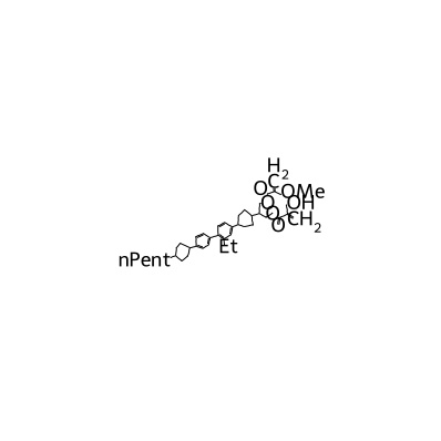 C=C(CO)C(=O)OCC(COC(=O)C(=C)COC)C1CCC(c2ccc(-c3ccc(C4CCC(CCCCC)CC4)cc3)c(CC)c2)CC1